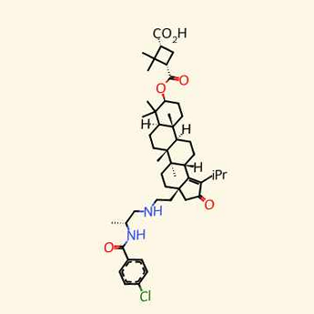 CC(C)C1=C2[C@H]3CC[C@@H]4[C@@]5(C)CC[C@H](OC(=O)[C@H]6C[C@@H](C(=O)O)C6(C)C)C(C)(C)[C@@H]5CC[C@@]4(C)[C@]3(C)CC[C@@]2(CCNC[C@@H](C)NC(=O)c2ccc(Cl)cc2)CC1=O